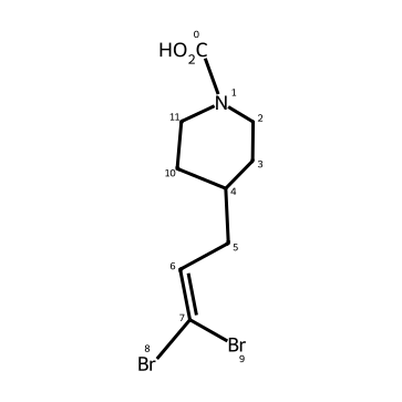 O=C(O)N1CCC(CC=C(Br)Br)CC1